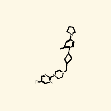 Cc1cc(N2CCCC2)ccc1C1CC(CN2CCN(c3ncc(F)cn3)CC2)C1